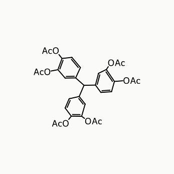 CC(=O)Oc1ccc(C(c2ccc(OC(C)=O)c(OC(C)=O)c2)c2ccc(OC(C)=O)c(OC(C)=O)c2)cc1OC(C)=O